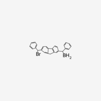 BC(c1ccccc1)c1ccc2c(c1)Cc1cc(C(Br)c3ccccc3)ccc1-2